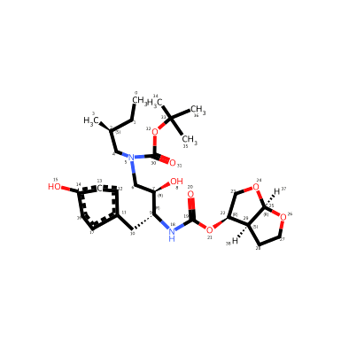 CC[C@H](C)CN(C[C@@H](O)[C@@H](Cc1ccc(O)cc1)NC(=O)O[C@H]1CO[C@H]2OCC[C@H]21)C(=O)OC(C)(C)C